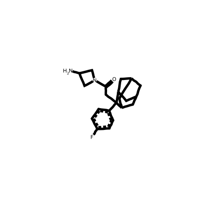 NC1CN(C(=O)CC2(c3ccc(F)cc3)C3CC4CC(C3)CC2C4)C1